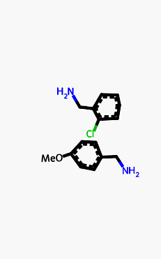 COc1ccc(CN)cc1.NCc1ccccc1Cl